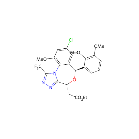 CCOC(=O)C[C@H]1O[C@H](c2cccc(OC)c2OC)c2cc(Cl)cc(OC)c2-n2c1nnc2C(F)(F)F